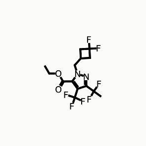 CCOC(=O)c1c(C(F)(F)F)c(C(C)(F)F)nn1CC1CC(F)(F)C1